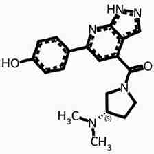 CN(C)[C@H]1CCN(C(=O)c2cc(-c3ccc(O)cc3)nc3[nH]ncc23)C1